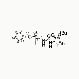 CC(C)C[C@H](NC(=O)NCNC(=O)OCc1ccccc1)C(=O)OC(C)(C)C